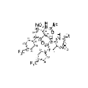 CCC(=O)Nc1c([N+](=O)[O-])cc(-c2ccc(C(F)(F)F)cc2)c(Oc2c(-c3ccc(C(F)(F)F)cc3)cc([N+](=O)[O-])c(NC(=O)CC)c2Cl)c1Cl